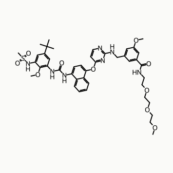 COCCOCCOCCNC(=O)c1cc(CNc2nccc(Oc3ccc(NC(=O)Nc4cc(C(C)(C)C)cc(NS(C)(=O)=O)c4OC)c4ccccc34)n2)cc(OC)c1